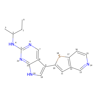 CCC(C)Nc1ncc2c(-c3cc4cnccc4s3)c[nH]c2n1